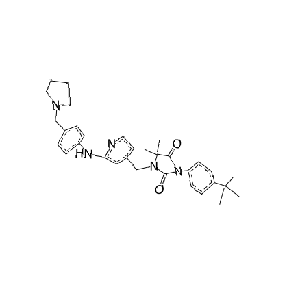 CC(C)(C)c1ccc(N2C(=O)N(Cc3ccnc(Nc4ccc(CN5CCCC5)cc4)c3)C(C)(C)C2=O)cc1